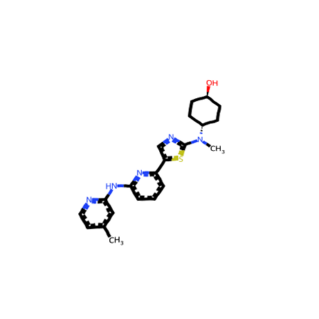 Cc1ccnc(Nc2cccc(-c3cnc(N(C)[C@H]4CC[C@H](O)CC4)s3)n2)c1